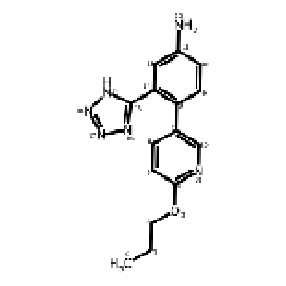 CCCOc1ccc(-c2ccc(N)cc2-c2nnn[nH]2)cn1